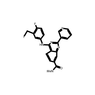 CNC(=O)c1ccc2c(Nc3ccc(F)c(CI)c3)nc(-c3cccnc3)nc2c1